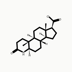 C[C@]12CCC(=O)N[C@@H]1CC[C@@H]1[C@@H]2CC[C@]2(C)[C@@H](C(=O)Cl)CC[C@@H]12